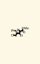 CCc1c(C(=O)OC)nn(C(C)C)c1CCl